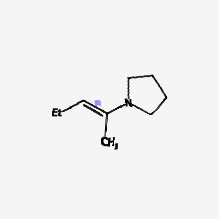 CC/C=C(\C)N1CCCC1